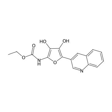 CCOC(=O)Nc1oc(-c2cnc3ccccc3c2)c(O)c1O